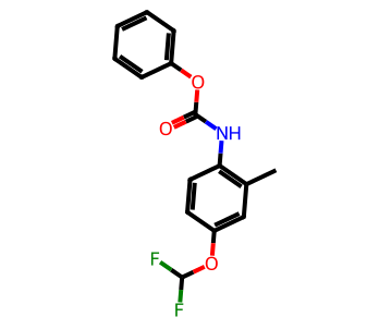 Cc1cc(OC(F)F)ccc1NC(=O)Oc1ccccc1